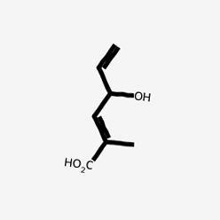 C=CC(O)C=C(C)C(=O)O